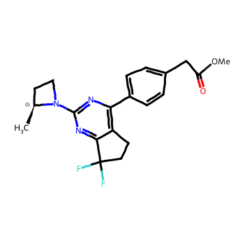 COC(=O)Cc1ccc(-c2nc(N3CC[C@@H]3C)nc3c2CCC3(F)F)cc1